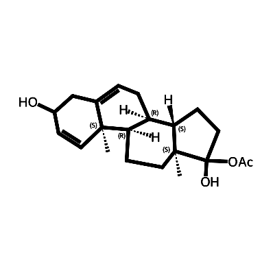 CC(=O)OC1(O)CC[C@H]2[C@@H]3CC=C4CC(O)C=C[C@]4(C)[C@@H]3CC[C@@]21C